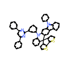 c1ccc(-c2cc(-c3ccccc3)nc(-c3cccc(N4c5ccccc5C5(c6cc7c8ccccc8n(-c8ccccc8)c7cc64)c4ccsc4-c4sccc45)c3)n2)cc1